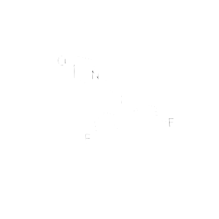 O=C1CCN(CCCC(c2ccc(F)cc2)c2ccc(F)cc2)CC1